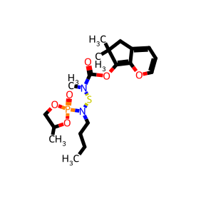 CCCCN(SN(C)C(=O)OC1=C2OC=CC=C2CC1(C)C)P1(=O)OCC(C)O1